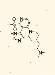 CN(C)CCC1CCN(c2ccnc(S(C)(=O)=O)c2-c2nnn[nH]2)CC1